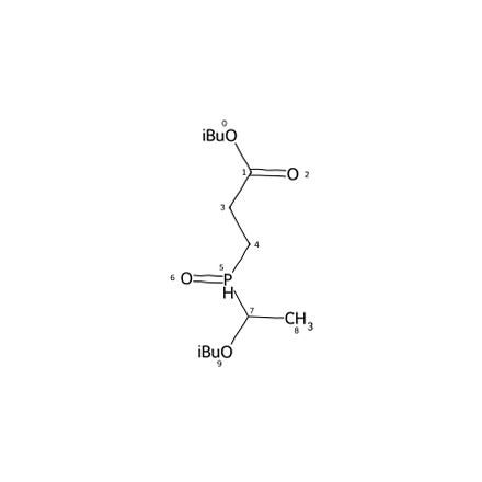 CC(C)COC(=O)CC[PH](=O)C(C)OCC(C)C